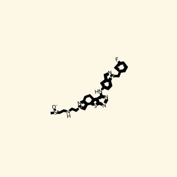 C[S+]([O-])CCNCCn1cc2c(n1)CCc1c-2sc2ncnc(Nc3ccc4c(cnn4Cc4cccc(F)c4)c3)c12